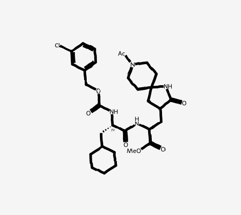 COC(=O)C(CC1CC2(CCN(C(C)=O)CC2)NC1=O)NC(=O)[C@H](CC1CCCCC1)NC(=O)OCc1cccc(Cl)c1